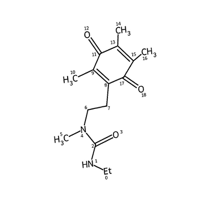 CCNC(=O)N(C)CCC1=C(C)C(=O)C(C)=C(C)C1=O